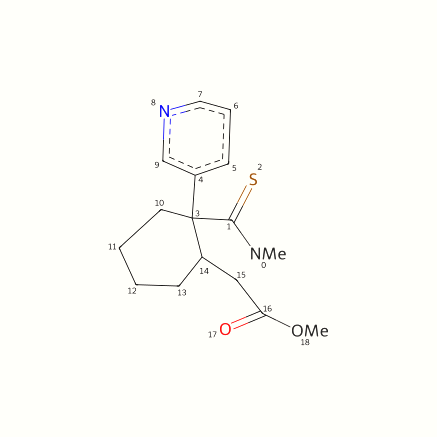 CNC(=S)C1(c2cccnc2)CCCCC1CC(=O)OC